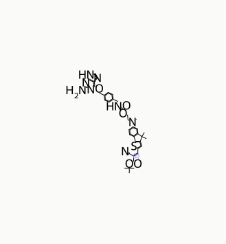 CN(CCOC(=O)NCc1ccc(COc2nc(N)nc3[nH]cnc23)cc1)c1ccc2c(c1)C(C)(C)c1cc(/C=C(\C#N)C(=O)OC(C)(C)C)sc1-2